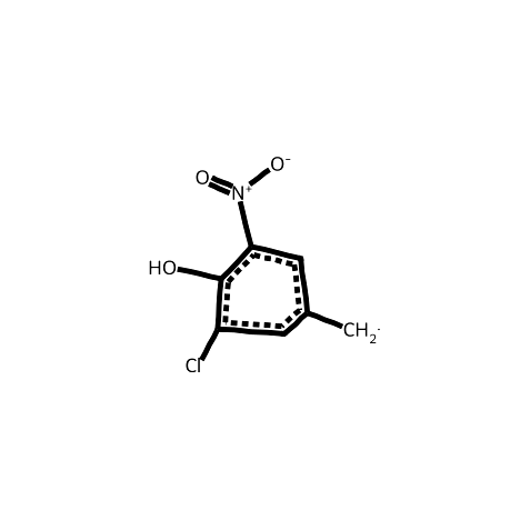 [CH2]c1cc(Cl)c(O)c([N+](=O)[O-])c1